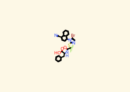 N#Cc1ccc(-n2c(Br)cnc2SC(F)(F)C(=O)NC(Cc2ccccc2)C(=O)O)c2ccccc12